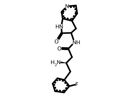 N[C@@H](CC(=O)NC1Cc2ccncc2NC1=O)Cc1ccccc1F